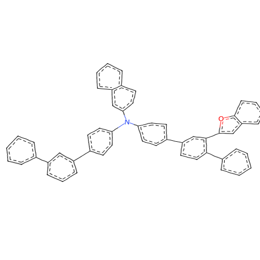 c1ccc(-c2cccc(-c3ccc(N(c4ccc(-c5ccc(-c6ccccc6)c(-c6cc7ccccc7o6)c5)cc4)c4ccc5ccccc5c4)cc3)c2)cc1